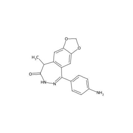 CC1C(=O)NN=C(c2ccc(N)cc2)c2cc3c(cc21)OCO3